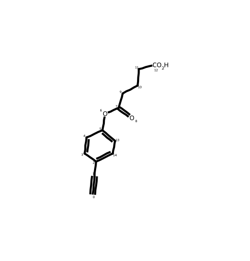 C#Cc1ccc(OC(=O)CCCC(=O)O)cc1